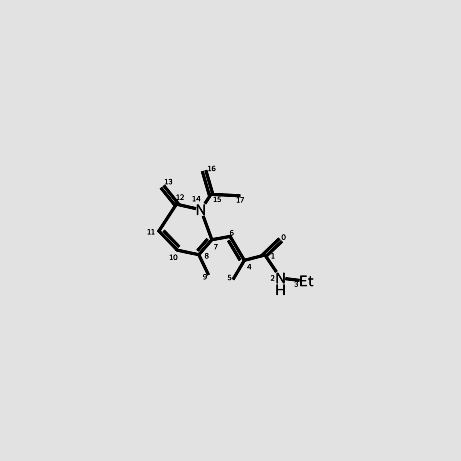 C=C(NCC)/C(C)=C/C1=C(C)C=CC(=C)N1C(=C)C